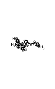 CN1CCCN(C(=O)CCCC#Cc2cccc3nc(Cn4nc(-c5ccc(O)cc5)c5c(N)ncnc54)n(Cc4ccccc4Cl)c(=O)c23)CC1